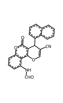 N#CC1=COc2c(c(=O)oc3cccc(NC=O)c23)C1c1cccc2ccccc12